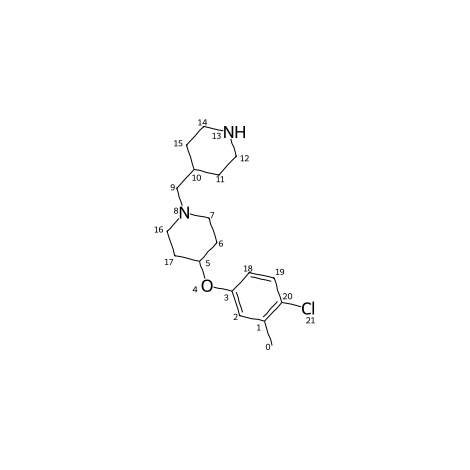 Cc1cc(OC2CCN(CC3CCNCC3)CC2)ccc1Cl